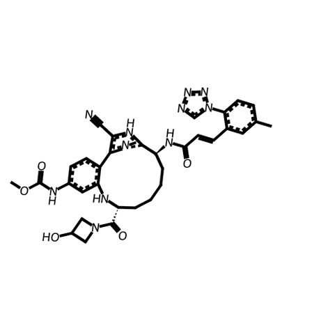 COC(=O)Nc1ccc2c(c1)N[C@@H](C(=O)N1CC(O)C1)CCCC[C@H](NC(=O)/C=C/c1cc(C)ccc1-n1cnnn1)c1nc-2c(C#N)[nH]1